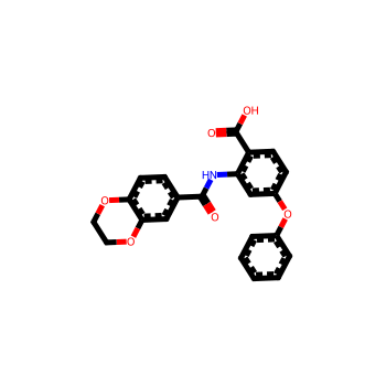 O=C(Nc1cc(Oc2ccccc2)ccc1C(=O)O)c1ccc2c(c1)OCCO2